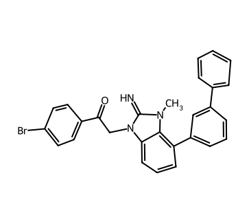 Cn1c(=N)n(CC(=O)c2ccc(Br)cc2)c2cccc(-c3cccc(-c4ccccc4)c3)c21